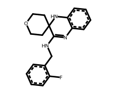 Fc1ccccc1CNC1=Nc2ccccc2NC12CCOCC2